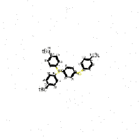 CC(C)(C)c1ccc(Sc2ccc([S+](c3ccc(C(C)(C)C)cc3)c3ccc(C(C)(C)C)cc3)cc2)cc1